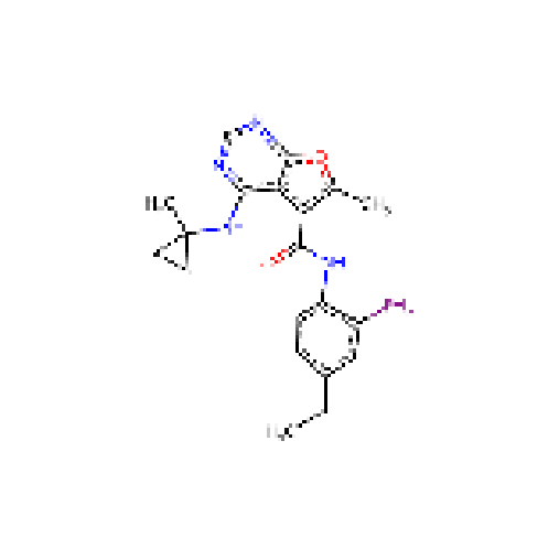 CCc1ccc(NC(=O)c2c(C)oc3ncnc(NC4(C)CC4)c23)c(P)c1